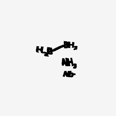 BB.[AlH3].[Nb]